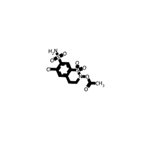 CC(=O)ON1CCc2cc(Cl)c(S(N)(=O)=O)cc2S1(=O)=O